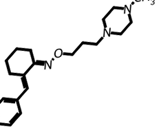 CN1CCN(CCCON=C2CCCCC2=Cc2ccccc2)CC1